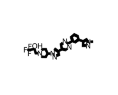 Cn1cc(-c2cccc(-c3ncc(-c4cnn(C5CCN(CC(O)C(F)(F)F)CC5)c4)cn3)c2)cn1